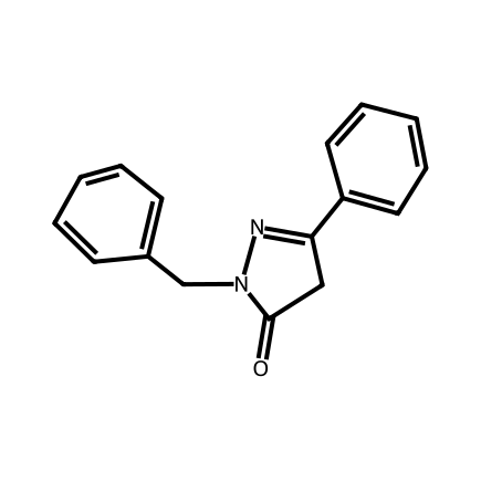 O=C1CC(c2ccccc2)=NN1Cc1ccccc1